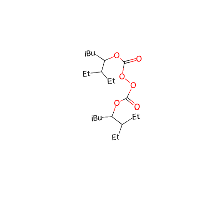 CCC(C)C(OC(=O)OOC(=O)OC(C(C)CC)C(CC)CC)C(CC)CC